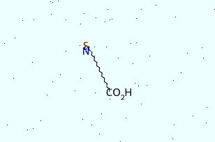 O=C(O)CCCCCCCCCCCCCCCc1cscn1